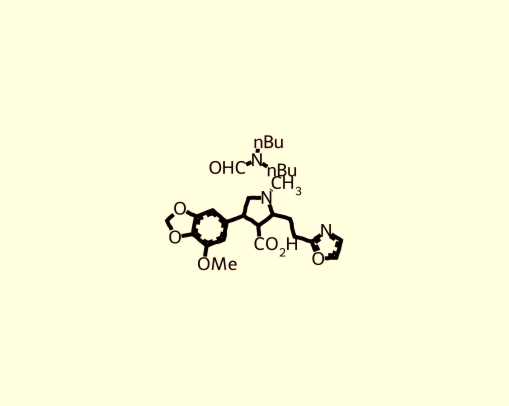 CCCCN(C=O)CCCC.COc1cc(C2CN(C)C(CCc3ncco3)C2C(=O)O)cc2c1OCO2